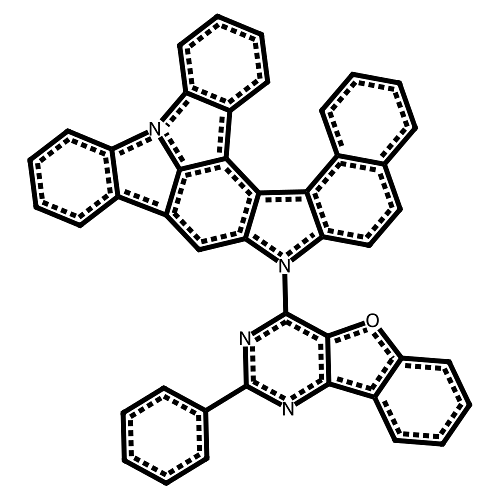 c1ccc(-c2nc(-n3c4ccc5ccccc5c4c4c5c6ccccc6n6c7ccccc7c(cc43)c56)c3oc4ccccc4c3n2)cc1